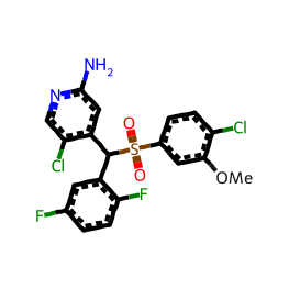 COc1cc(S(=O)(=O)C(c2cc(F)ccc2F)c2cc(N)ncc2Cl)ccc1Cl